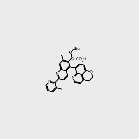 Cc1cccnc1-c1ccc2c(-c3ccc4c5c(ccnc35)CCO4)c([C@H](OC(C)(C)C)C(=O)O)c(C)cc2n1